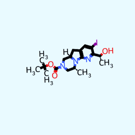 C[C@@H]1CN(C(=O)OC(C)(C)C)C[C@H]2Cc3cc(I)c([C@@H](C)O)nc3N21